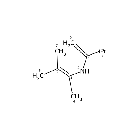 C=C(NC(C)=C(C)C)C(C)C